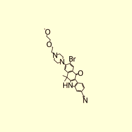 COCCOCCN1CCN(c2cc3c(cc2Br)C(=O)c2c([nH]c4cc(C#N)ccc24)C3(C)C)CC1